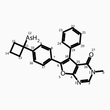 Cn1cnc2oc(-c3ccc(C4([AsH2])CCC4)cc3)c(-c3ccccc3)c2c1=O